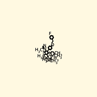 Cc1nc(-n2cncc2C)c(-c2ccc(OCCc3ccc(F)cc3)cc2)c(N2CCC(C)(C)CC2)c1C(OC(C)(C)C)C(=O)O